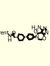 CCC[C@H](C)NC(=O)C[C@H]1CC[C@H](c2ccc(N3CCOc4ncnc(N)c4C3=O)cc2)CC1